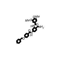 COc1ccc(C(=O)Nc2cc(NC(=O)c3ccc(OCc4ccccc4)cc3)ccc2CN)cc1OC